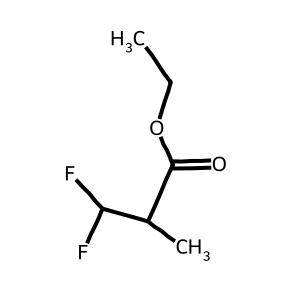 CCOC(=O)C(C)C(F)F